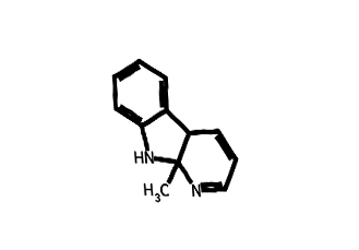 CC12N=CC=CC1c1ccccc1N2